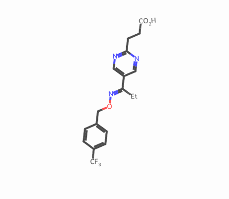 CC/C(=N\OCc1ccc(C(F)(F)F)cc1)c1cnc(CCC(=O)O)nc1